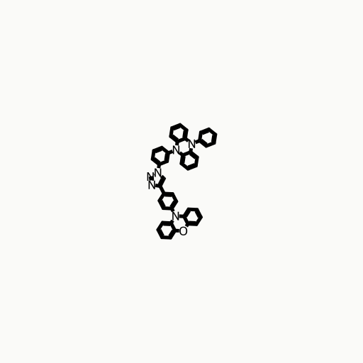 c1ccc(N2c3ccccc3N(c3cccc(-n4cc(-c5ccc(N6c7ccccc7Oc7ccccc76)cc5)nn4)c3)c3ccccc32)cc1